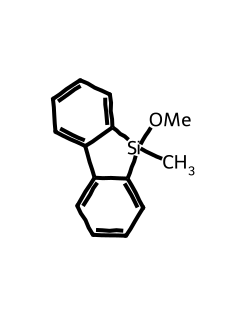 CO[Si]1(C)c2ccccc2-c2ccccc21